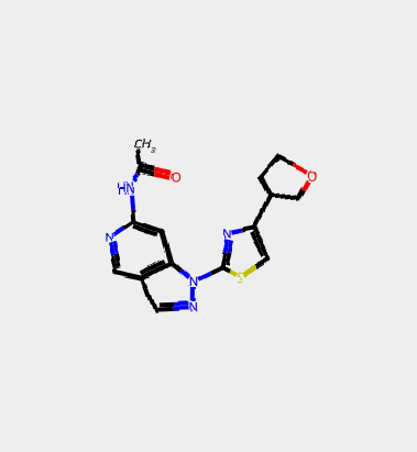 CC(=O)Nc1cc2c(cn1)cnn2-c1nc(C2CCOC2)cs1